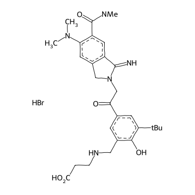 Br.CNC(=O)c1cc2c(cc1N(C)C)CN(CC(=O)c1cc(CNCCC(=O)O)c(O)c(C(C)(C)C)c1)C2=N